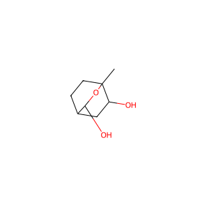 CC12CCC(CC1O)C(O)O2